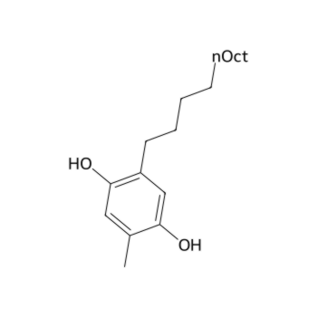 CCCCCCCCCCCCc1cc(O)c(C)cc1O